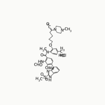 COc1c(-c2cccc3[nH]c(S(C)(=O)=O)nc23)ccc(C(=O)N(C)c2ccc(C)cc2OCCCCC(=C=O)N2CCN(C)CC2)c1NC=O.Cl.Cl